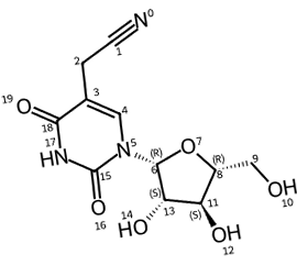 N#CCc1cn([C@@H]2O[C@H](CO)[C@@H](O)[C@@H]2O)c(=O)[nH]c1=O